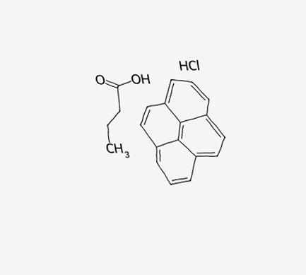 CCCC(=O)O.Cl.c1cc2ccc3cccc4ccc(c1)c2c34